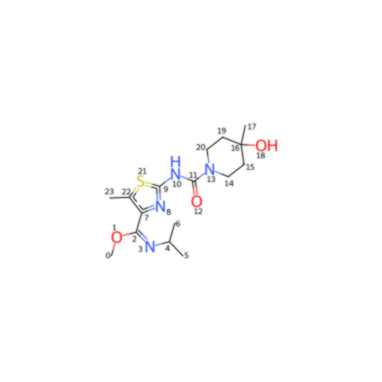 CO/C(=N/C(C)C)c1nc(NC(=O)N2CCC(C)(O)CC2)sc1C